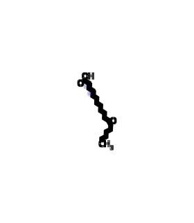 CCCCCC1OC1CCCCCC/C=C/C=C/C(=O)O